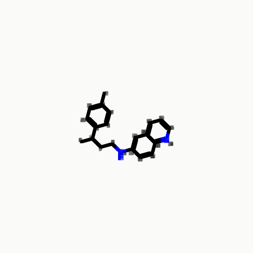 Cc1ccc(C(C)CCNc2ccc3ncccc3c2)cc1